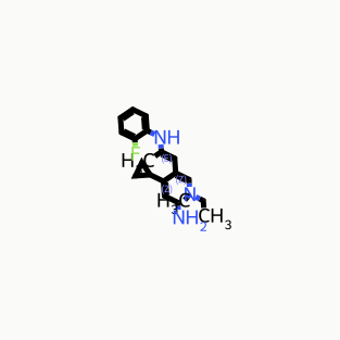 CCN(C)/C=C(/C=C(\C)Nc1ccccc1F)C(=C/CN)\C1CC1